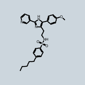 CCCCCc1ccc(S(=O)(=O)NCCc2nc(-c3cccnc3)[nH]c2-c2ccc(OC)cc2)cc1